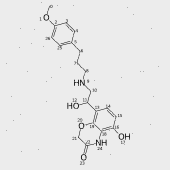 COc1ccc(CCCNCC(O)c2ccc(O)c3c2OCC(=O)N3)cc1